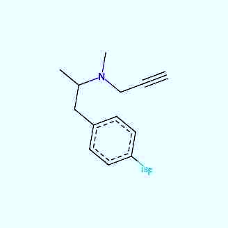 C#CCN(C)C(C)Cc1ccc([18F])cc1